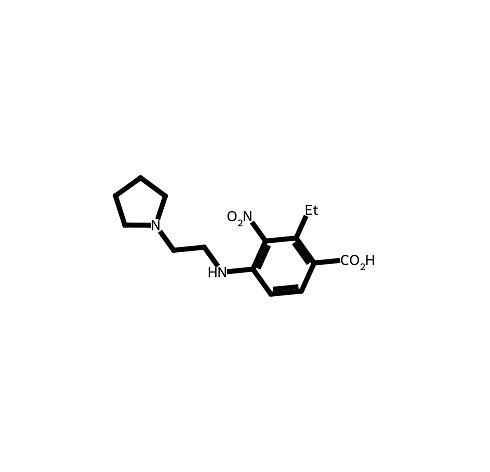 CCc1c(C(=O)O)ccc(NCCN2CCCC2)c1[N+](=O)[O-]